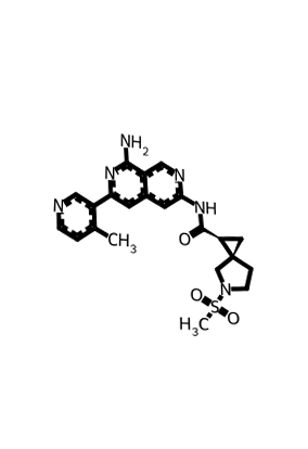 Cc1ccncc1-c1cc2cc(NC(=O)[C@H]3C[C@]34CCN(S(C)(=O)=O)C4)ncc2c(N)n1